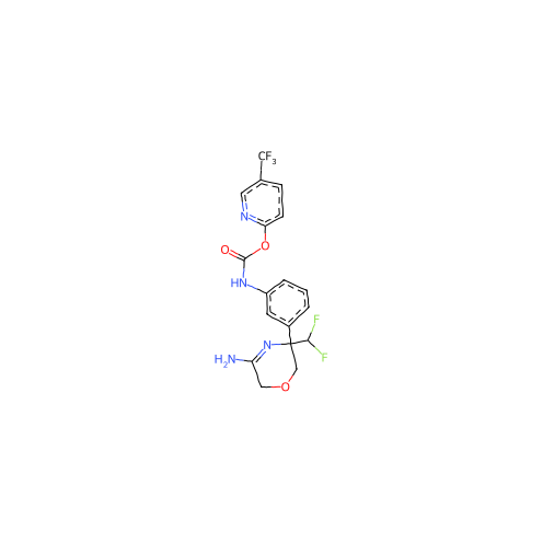 NC1=NC(c2cccc(NC(=O)Oc3ccc(C(F)(F)F)cn3)c2)(C(F)F)COC1